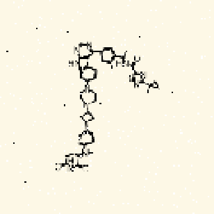 Cc1cc(-c2ncnc3[nH]c4cc(N5CCN(C6CC(c7ccc(N[C@@H]8CCC(=O)NC8=O)cc7)C6)CC5)ccc4c23)ccc1[C@@H](C)NC(=O)c1nc(C2(C)CC2)no1